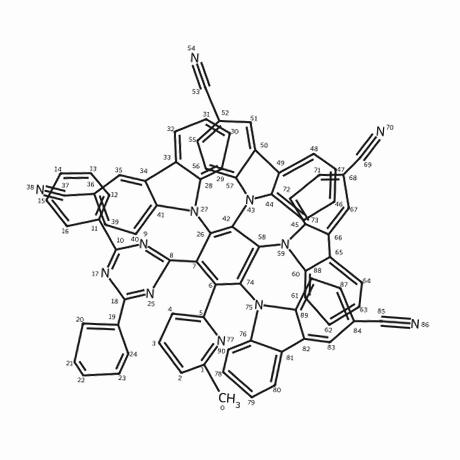 Cc1cccc(-c2c(-c3nc(-c4ccccc4)nc(-c4ccccc4)n3)c(-n3c4ccccc4c4cc(C#N)ccc43)c(-n3c4ccccc4c4cc(C#N)ccc43)c(-n3c4ccccc4c4cc(C#N)ccc43)c2-n2c3ccccc3c3cc(C#N)ccc32)n1